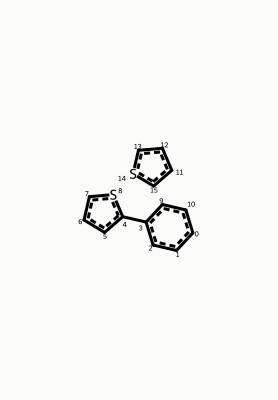 c1ccc(-c2cccs2)cc1.c1ccsc1